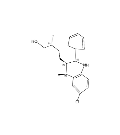 C[C@@H](CO)CC[C@@H]1[C@H](C)c2cc(Cl)ccc2N[C@H]1C1C=CC=CC1